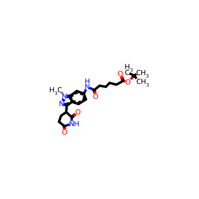 Cn1nc(C2CCC(=O)NC2=O)c2ccc(NC(=O)CCCCC(=O)OC(C)(C)C)cc21